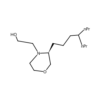 CCCC(CCC)CCC[C@H]1COCCN1CCO